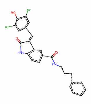 O=C1Nc2ccc(C(=O)NCCCc3ccccc3)cc2/C1=C/c1cc(Br)c(O)c(Br)c1